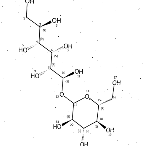 OC[C@@H](O)[C@@H](O)[C@H](O)[C@@H](O)[C@@H](O)OC1O[C@H](CO)[C@@H](O)[C@H](O)[C@H]1O